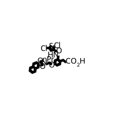 CCCN(CCOc1ccc(CCC(=O)O)c(CNC(=O)c2cc(Cl)sc2Cl)c1)S(=O)(=O)c1ccc2ccccc2c1